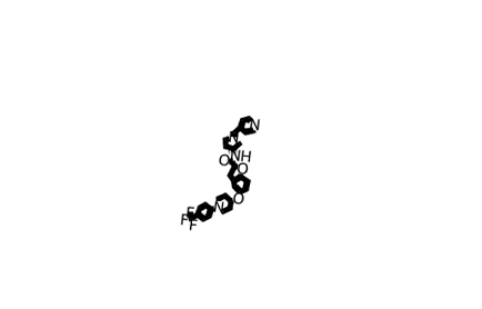 O=C(N[C@@H]1CCN(Cc2ccncc2)C1)C1Cc2cc(OC3CCN(c4ccc(C(F)(F)F)cc4)CC3)ccc2O1